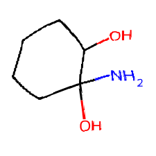 NC1(O)CCCCC1O